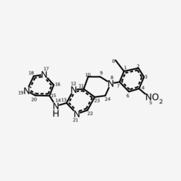 Cc1ccc([N+](=O)[O-])cc1N1CCc2nc(Nc3cncnc3)ncc2C1